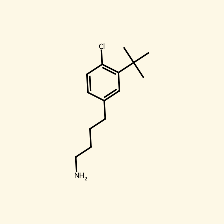 CC(C)(C)c1cc(CCCCN)ccc1Cl